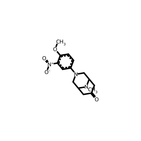 COc1ccc(N2CC3CC(=O)CC(C2)N3C)cc1[N+](=O)[O-]